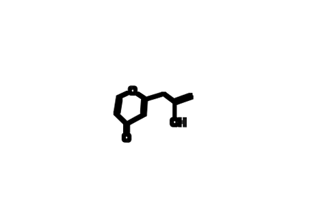 C=C(O)Cc1cc(=O)cco1